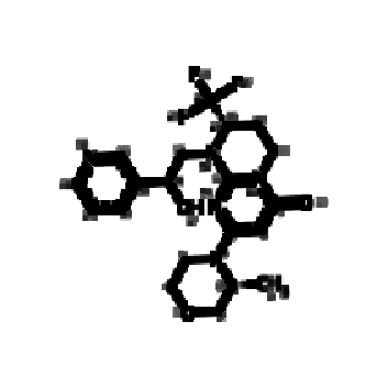 C[C@@H]1COCCN1c1cc(=O)n2c(n1)N(CC(O)c1cccnc1)[C@H](C(F)(F)F)CC2